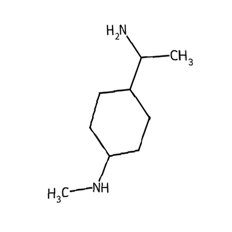 CNC1CCC(C(C)N)CC1